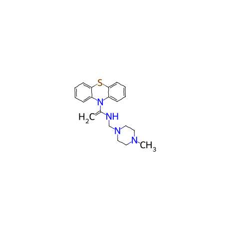 C=C(NCN1CCN(C)CC1)N1c2ccccc2Sc2ccccc21